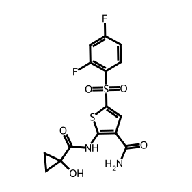 NC(=O)c1cc(S(=O)(=O)c2ccc(F)cc2F)sc1NC(=O)C1(O)CC1